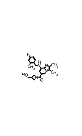 Cc1cc(F)ccc1CNc1cc(C(=O)N2CC(CO)C2)cn2c(C)c(C)nc12